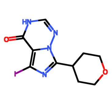 O=c1[nH]cnn2c(C3CCOCC3)nc(I)c12